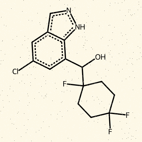 OC(c1cc(Cl)cc2cn[nH]c12)C1(F)CCC(F)(F)CC1